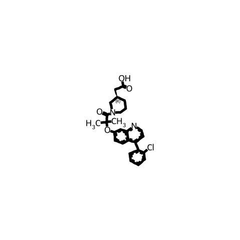 CC(C)(Oc1ccc2c(-c3ccccc3Cl)ccnc2c1)C(=O)N1CCC[C@H](CC(=O)O)C1